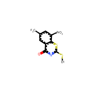 CCSc1nc(=O)c2cc(C(F)(F)F)cc([N+](=O)[O-])c2s1